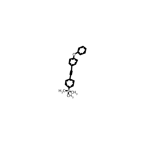 C[Si](C)(C)c1ccc(C#Cc2ccc(Oc3ccccc3)cc2)cc1